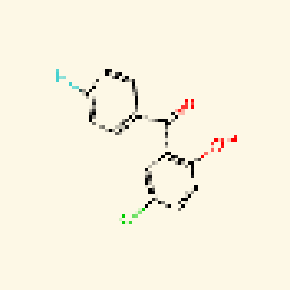 O=C(c1ccc(F)cc1)c1cc(Cl)ccc1O